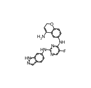 NC1=CCOc2ccc(Nc3nc(Nc4ccc5cn[nH]c5c4)ncc3F)cc21